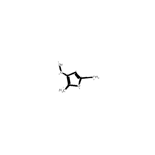 Cc1cc(OS)c(C)o1